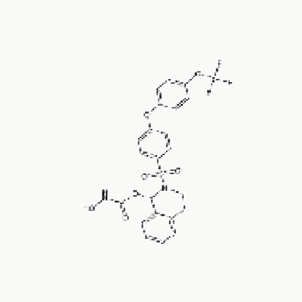 O=C(NO)OC1c2ccccc2CCN1S(=O)(=O)c1ccc(Oc2ccc(OC(F)(F)F)cc2)cc1